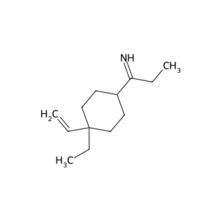 C=CC1(CC)CCC(C(=N)CC)CC1